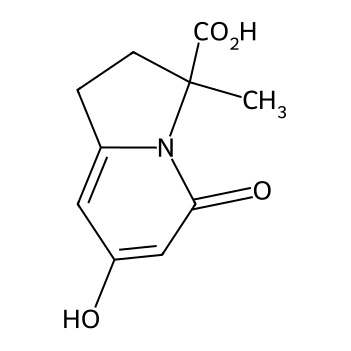 CC1(C(=O)O)CCc2cc(O)cc(=O)n21